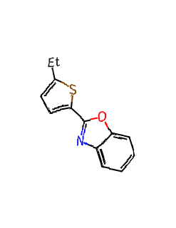 CCc1ccc(-c2nc3ccccc3o2)s1